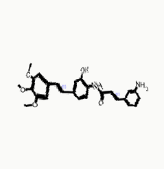 COc1cc(/C=C/c2ccc(NC(=O)/C=C/c3cccc(N)c3)c(O)c2)cc(OC)c1OC